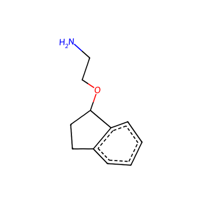 NCCOC1CCc2ccccc21